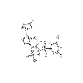 Cc1nnc(-n2ccc3cc(N(CP(=O)(O)O)S(=O)(=O)c4cc(Cl)cc(Cl)c4)ccc32)s1